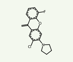 C=C1c2cc(Cl)c(N3CCCC3)cc2Oc2c(F)cccc21